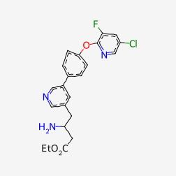 CCOC(=O)CC(N)Cc1cncc(-c2ccc(Oc3ncc(Cl)cc3F)cc2)c1